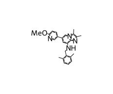 COc1ccc(-c2cc(NCc3c(C)cccc3C)c3nc(C)c(C)n3c2)cn1